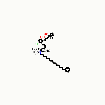 CCC1([C@@H](O)C/C=C/[C@@H]2[C@@H](C/C=C\CCC(CC=O)(C(=O)O)N(C)CCCCCCCCCCCCCCCc3ccccc3)[C@H](Cl)C[C@H]2O)CCC1